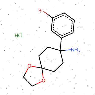 Cl.NC1(c2cccc(Br)c2)CCC2(CC1)OCCO2